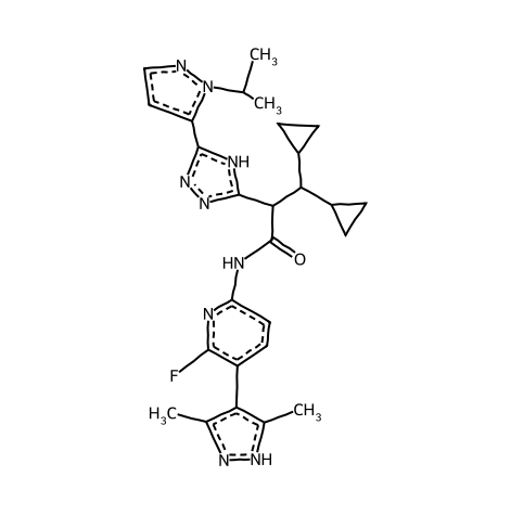 Cc1n[nH]c(C)c1-c1ccc(NC(=O)C(c2nnc(-c3ccnn3C(C)C)[nH]2)C(C2CC2)C2CC2)nc1F